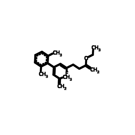 C=C(C)/C=C(\C=C(/F)CCC(=C)OCC)c1c(C)cccc1C